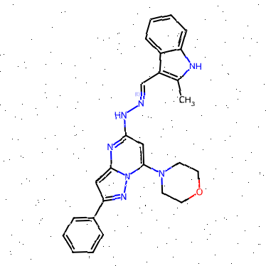 Cc1[nH]c2ccccc2c1/C=N/Nc1cc(N2CCOCC2)n2nc(-c3ccccc3)cc2n1